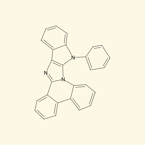 c1ccc(-n2c3ccccc3c3nc4c5ccccc5c5ccccc5n4c32)cc1